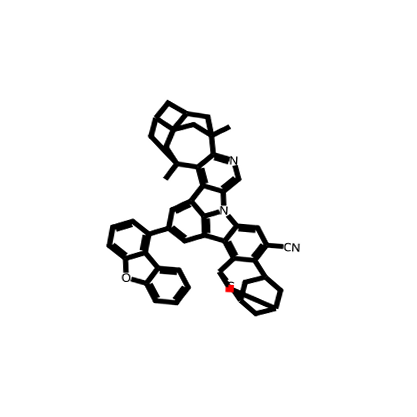 CC12CC3CC4CC(C)(CC34C1)c1c2ncc2c1c1cc(-c3cccc4oc5ccccc5c34)cc3c4c5c(c(C#N)cc4n2c31)C1CC2CC(C1)CC5C2